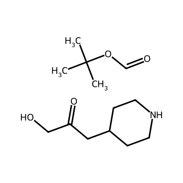 CC(C)(C)OC=O.O=C(CO)CC1CCNCC1